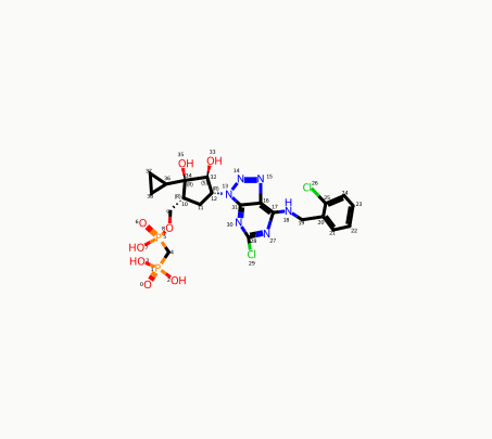 O=P(O)(O)CP(=O)(O)OC[C@H]1C[C@@H](n2nnc3c(NCc4ccccc4Cl)nc(Cl)nc32)[C@H](O)[C@@]1(O)C1CC1